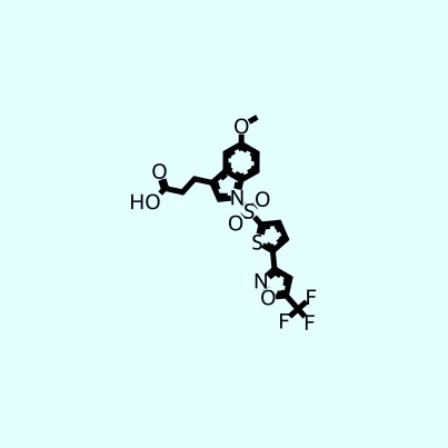 COc1ccc2c(c1)c(CCC(=O)O)cn2S(=O)(=O)c1ccc(-c2cc(C(F)(F)F)on2)s1